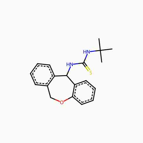 CC(C)(C)NC(=S)NC1c2ccccc2COc2ccccc21